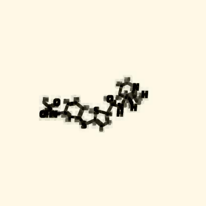 C[C@H]1[C@H](NC(=O)c2ccc(Sc3cccc(NS(C)(=O)=O)c3)s2)C2CCN1CC2